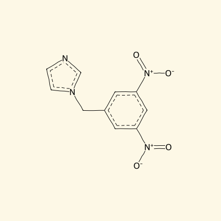 O=[N+]([O-])c1cc(Cn2ccnc2)cc([N+](=O)[O-])c1